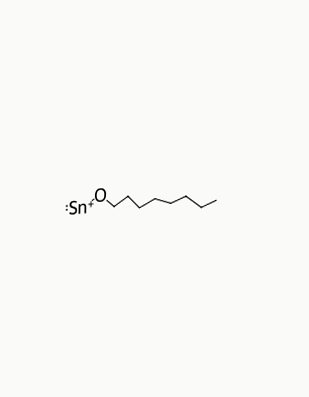 CCCCCCCC[O][Sn+]